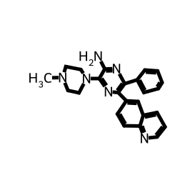 CN1CCN(c2nc(-c3ccc4ncccc4c3)c(-c3ccccc3)nc2N)CC1